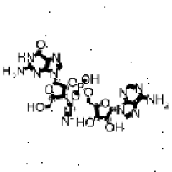 [N-]=[N+]=N[C@H]1[C@@H](OP(=O)(O)OC[C@H]2O[C@@H](n3cnc4c(N)ncnc43)[C@H](O)[C@@H]2O)[C@H](n2cnc3c(=O)[nH]c(N)nc32)O[C@@H]1CO